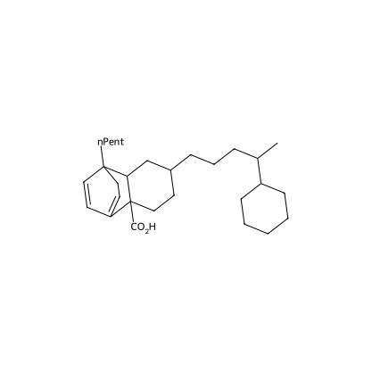 CCCCCC12C=CC(=CC1)C1(C(=O)O)CCC(CCCC(C)C3CCCCC3)CC21